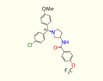 COc1ccc([C@H](c2ccc(Cl)cc2)N2CCC(NC(=O)c3ccc(OC(F)(F)F)cc3)C2)cc1